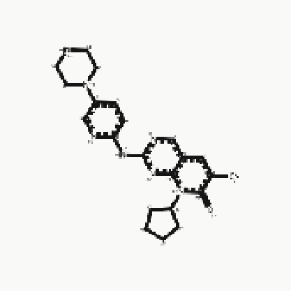 N#Cc1cc2cnc(Nc3ccc(N4CCNCC4)cn3)nc2n(C2CCCC2)c1=O